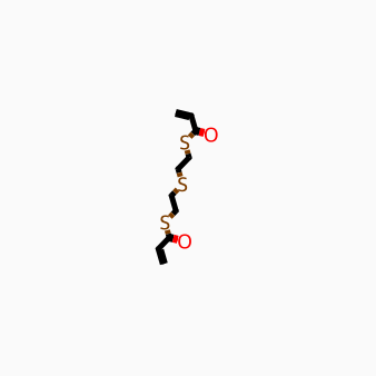 C=CC(=O)SCCSCCSC(=O)C=C